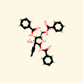 CC#C[C@]1(O)C(OC(=O)c2ccccc2)O[C@H](COC(=O)c2ccccc2)[C@H]1OC(=O)c1ccccc1